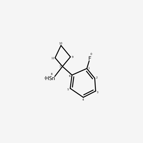 Fc1ccccc1[C]1([SnH])CCC1